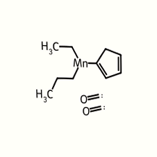 CC[CH2][Mn]([CH2]C)[C]1=CC=CC1.[C]=O.[C]=O